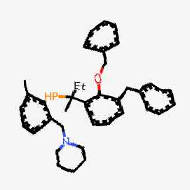 CCC(C)(Pc1c(C)cccc1CN1CCCCC1)c1cccc(Cc2ccccc2)c1OCc1ccccc1